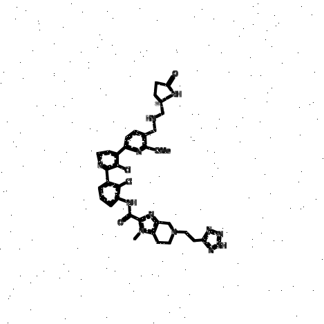 COc1nc(-c2ccnc(-c3cccc(NC(=O)c4nc5c(n4C)CCN(CCc4nn[nH]n4)C5)c3Cl)c2Cl)ccc1CNC[C@H]1CCC(=O)N1